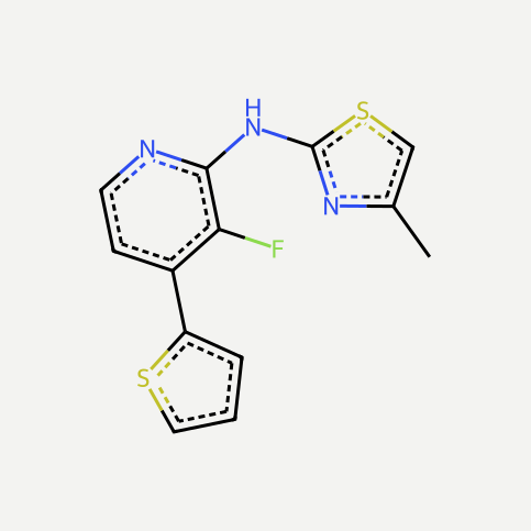 Cc1csc(Nc2nccc(-c3cccs3)c2F)n1